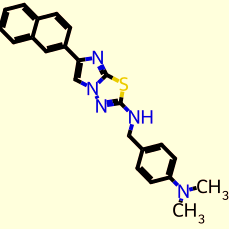 CN(C)c1ccc(CNc2nn3cc(-c4ccc5ccccc5c4)nc3s2)cc1